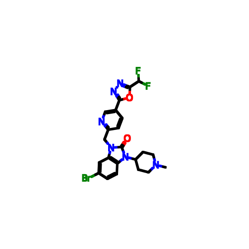 CN1CCC(n2c(=O)n(Cc3ccc(-c4nnc(C(F)F)o4)cn3)c3cc(Br)ccc32)CC1